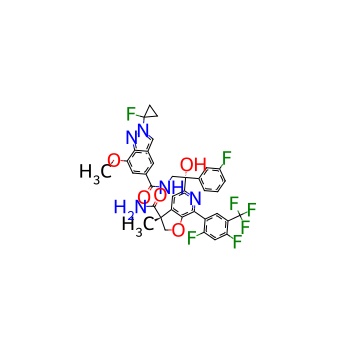 COc1cc(C(=O)NC[C@@](O)(c2cccc(F)c2)c2cc3c(c(-c4cc(C(F)(F)F)c(F)cc4F)n2)OC[C@]3(C)C(N)=O)cc2cn(C3(F)CC3)nc12